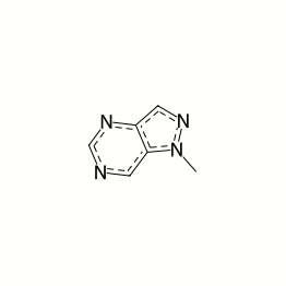 Cn1ncc2ncncc21